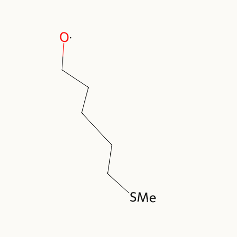 CSCCCCC[O]